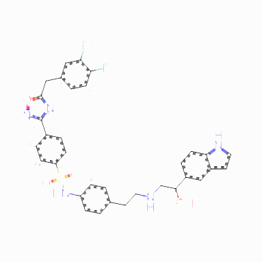 O=S(=O)(Nc1ccc(CCNCC(O)c2ccc3[nH]ccc3c2)cc1)c1ccc(-c2noc(Cc3ccc(F)c(F)c3)n2)cc1